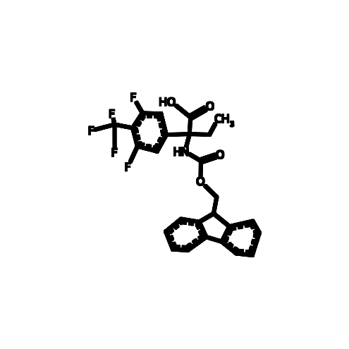 CCC(NC(=O)OCC1c2ccccc2-c2ccccc21)(C(=O)O)c1cc(F)c(C(F)(F)F)c(F)c1